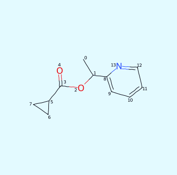 CC(OC(=O)C1CC1)c1ccccn1